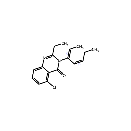 C/C=C(\C=C/CC)n1c(CC)nc2cccc(Cl)c2c1=O